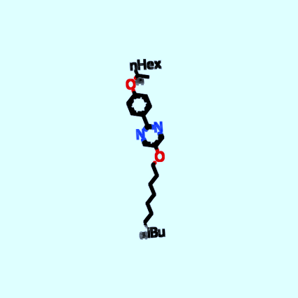 CCCCCC[C@@H](C)Oc1ccc(-c2ncc(OCCCCCCC[C@@H](C)CC)cn2)cc1